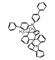 CC1(C)c2ccccc2C2(c3ccccc3-n3c4ccccc4c4cccc2c43)c2cccc(N(c3ccc(-c4ccccc4)cc3)c3ccc(-c4ccccc4)cc3)c21